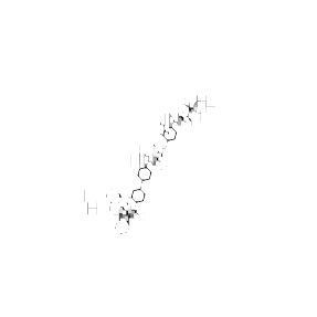 CCNc1cc(-c2ccc(NC(=O)NCc3ccc(NC(=O)OC(C)(C)C)nc3)cc2)ccc1C(=O)N(CC)N1CCCCC1